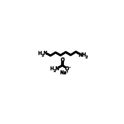 NC(=O)[O-].NCCCCCCN.[Na+]